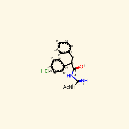 CC(=O)NC(=N)NC(=O)C(Cc1ccccc1)c1ccccc1.Cl